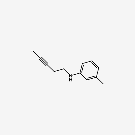 [CH2]C#CCCNc1cccc(C)c1